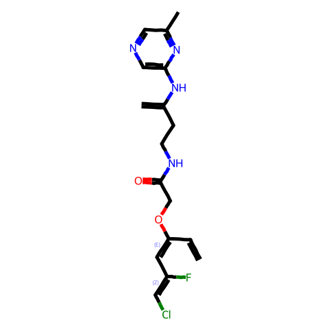 C=C/C(=C\C(F)=C\Cl)OCC(=O)NCCC(=C)Nc1cncc(C)n1